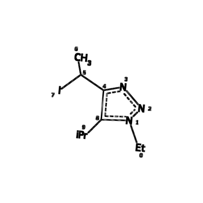 CCn1nnc(C(C)I)c1C(C)C